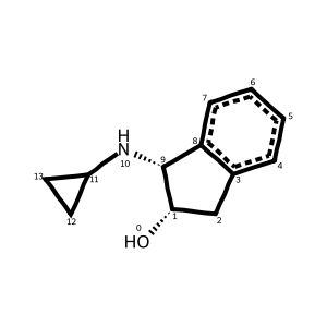 O[C@H]1Cc2ccccc2[C@H]1NC1CC1